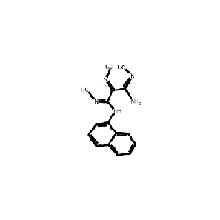 CN=C(Nc1cccc2ccccc12)C(=N/C)/C(N)=N\C